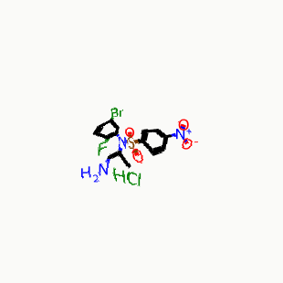 CC(CN)N(c1cc(Br)ccc1F)S(=O)(=O)c1ccc([N+](=O)[O-])cc1.Cl